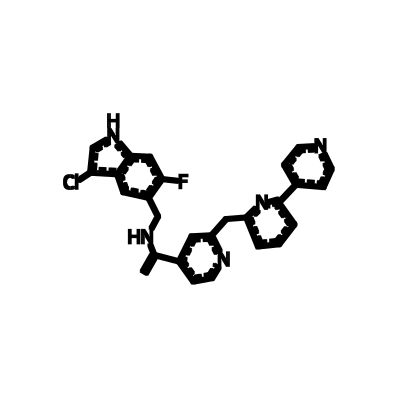 C=C(NCc1cc2c(Cl)c[nH]c2cc1F)c1ccnc(Cc2cccc(-c3ccncc3)n2)c1